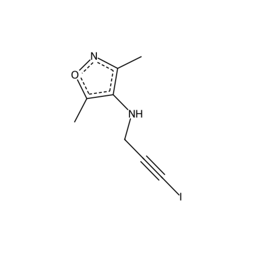 Cc1noc(C)c1NCC#CI